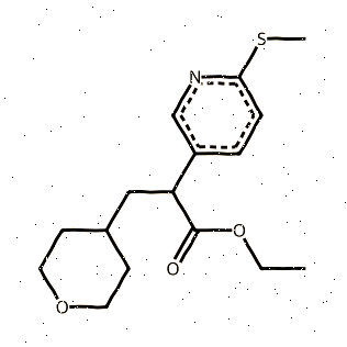 CCOC(=O)C(CC1CCOCC1)c1ccc(SC)nc1